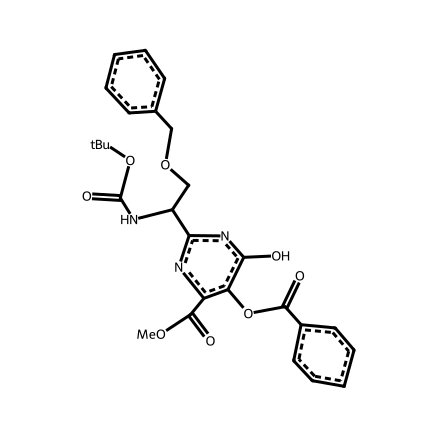 COC(=O)c1nc(C(COCc2ccccc2)NC(=O)OC(C)(C)C)nc(O)c1OC(=O)c1ccccc1